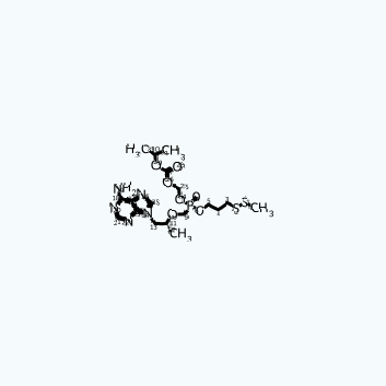 CSSCCCOP(=O)(CO[C@H](C)Cn1cnc2c(N)ncnc21)OCOC(=O)OC(C)C